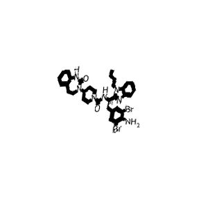 CCCCn1c([C@@H](Cc2cc(Br)c(N)c(Br)c2)NC(=O)N2CCC(N3CCc4ccccc4NC3=O)CC2)nc2ccccc21